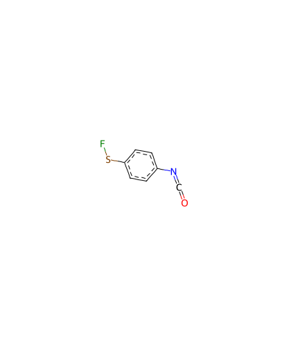 O=C=Nc1ccc(SF)cc1